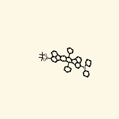 CC1(C)OB(c2ccc3c4cc5c(-c6ccccc6)c6c7ccc(N(c8ccccc8)c8ccccc8)c8cccc(c6c(-c6ccccc6)c5cc4c4cccc2c43)c87)OC1(C)C